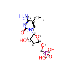 Cc1cn([C@@H]2O[C@H](OCP(=O)(O)O)C[C@@H]2O)c(=O)nc1N